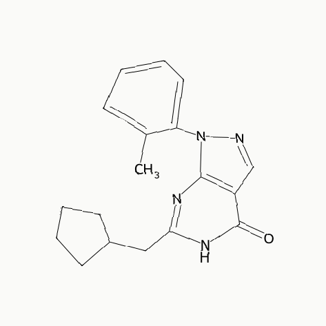 Cc1ccccc1-n1ncc2c(=O)[nH]c(CC3CCCC3)nc21